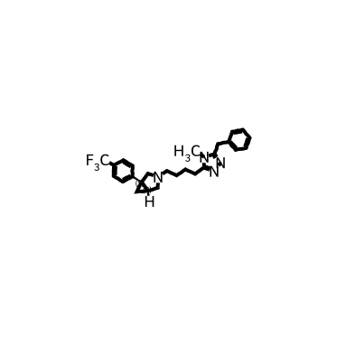 Cn1c(CCCCN2C[C@@H]3C[C@]3(c3ccc(C(F)(F)F)cc3)C2)nnc1Cc1ccccc1